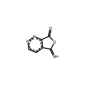 N=C1OC(=O)c2nnccc21